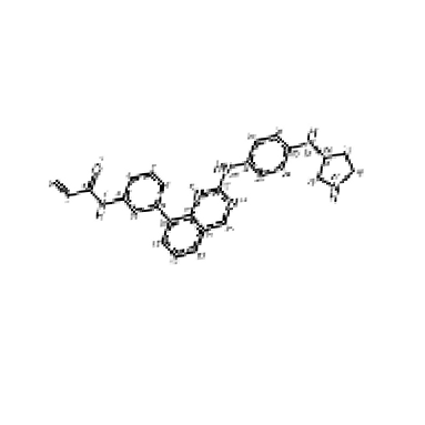 C=CC(=O)Nc1cccc(-c2cccc3cnc(Nc4ccc(N[C@H]5CCNC5)cc4)nc23)c1